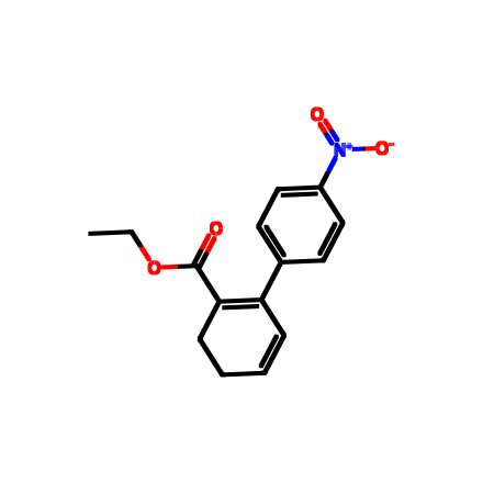 CCOC(=O)C1=C(c2ccc([N+](=O)[O-])cc2)C=CCC1